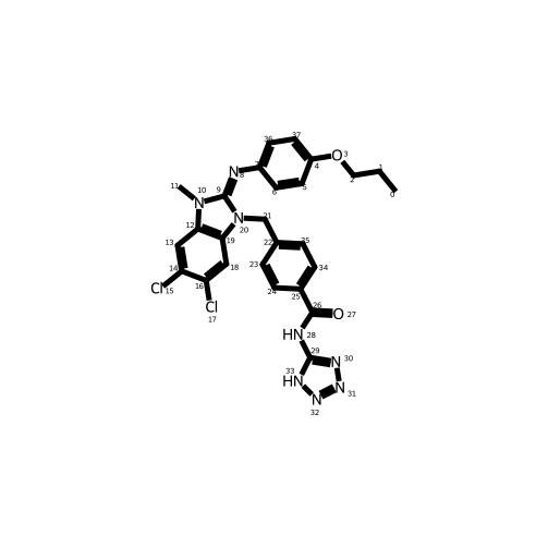 CCCOc1ccc(N=c2n(C)c3cc(Cl)c(Cl)cc3n2Cc2ccc(C(=O)Nc3nnn[nH]3)cc2)cc1